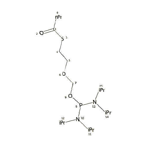 CCCC(=O)SCCOCOP(N(C(C)C)C(C)C)N(C(C)C)C(C)C